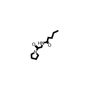 CCCCC(=O)NCC(=O)N1CCCC1